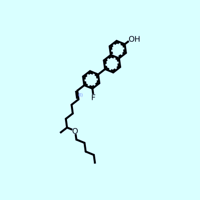 CCCCCOC(C)CCC/C=C/c1ccc(-c2ccc3cc(O)ccc3c2)cc1F